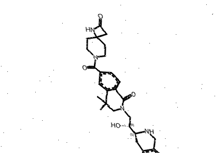 CC1(C)CN(C[C@@H](O)[C@@H]2Cc3ccccc3CN2)C(=O)c2ccc(C(=O)N3CCC4(CC3)CC(=O)N4)cc21